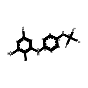 Cc1c(N)cc(F)cc1Nc1ccc(SC(F)(F)F)cc1